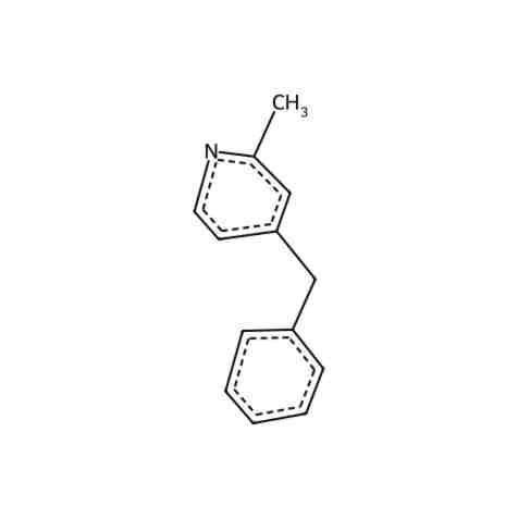 Cc1cc(Cc2ccccc2)ccn1